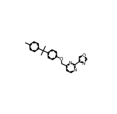 Cc1ccc(C(C)(C)c2ccc(OCc3ccnc(-c4cocn4)n3)cc2)cc1